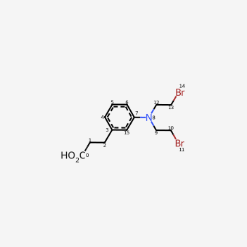 O=C(O)CCc1cccc(N(CCBr)CCBr)c1